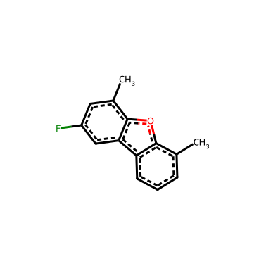 Cc1cccc2c1oc1c(C)cc(F)cc12